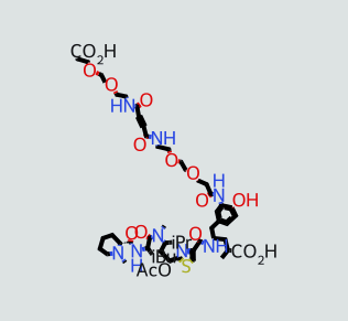 CCC(C)C(NC(=O)[C@H]1CCCCN1C)C(=O)N(C)C(CC(OC(C)=O)c1nc(C(=O)NC(Cc2ccc(O)c(NC(=O)CCOCCOCCNC(=O)C#CC(=O)NCCOCCOCCC(=O)O)c2)CC(C)C(=O)O)cs1)C(C)C